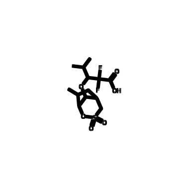 CC(C)C(OC1C2CC(C)C1OS(=O)(=O)C2)C(F)(F)C(=O)O